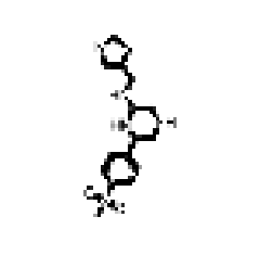 CS(=O)(=O)c1ccc(C2CNCC(NCC3CNCS3)N2)cc1